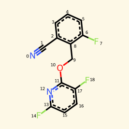 N#Cc1cccc(F)c1COc1nc(F)ccc1F